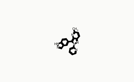 Cc1ccc2nn(-c3ccccn3)c(-c3ccc4[nH]ncc4c3)c2n1